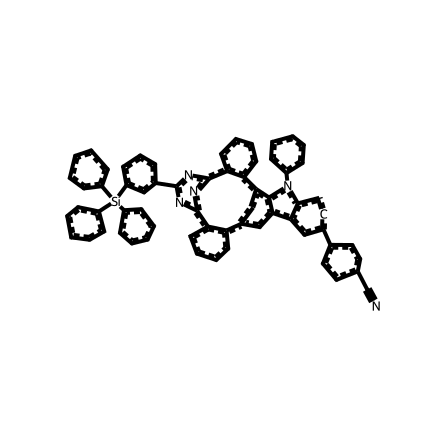 N#Cc1ccc(-c2ccc3c(c2)c2cc4cc(c5ccccc5c5nc(-c6cccc([Si](c7ccccc7)(c7ccccc7)c7ccccc7)c6)nc(n5)c5ccccc45)c2n3-c2ccccc2)cc1